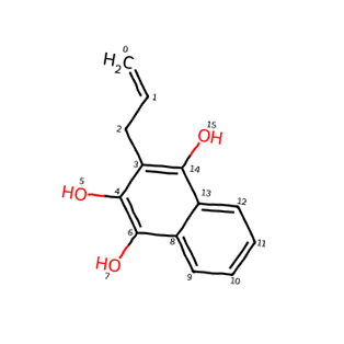 C=CCc1c(O)c(O)c2ccccc2c1O